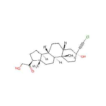 C[C@]12CC[C@](O)(C#CCl)C[C@H]1CC[C@@H]1[C@@H]2CC[C@]2(C)[C@@H](C(=O)CO)CC[C@@H]12